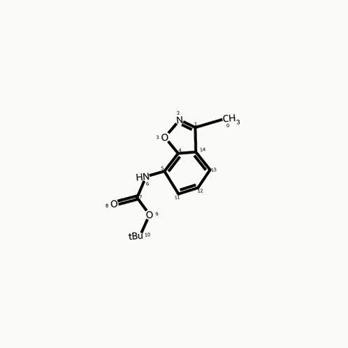 Cc1noc2c(NC(=O)OC(C)(C)C)cccc12